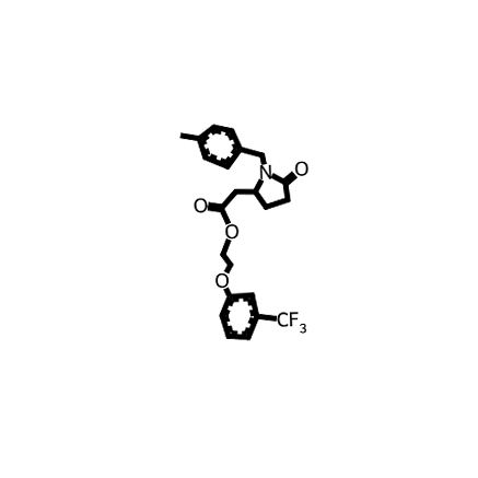 Cc1ccc(CN2C(=O)CCC2CC(=O)OCCOc2cccc(C(F)(F)F)c2)cc1